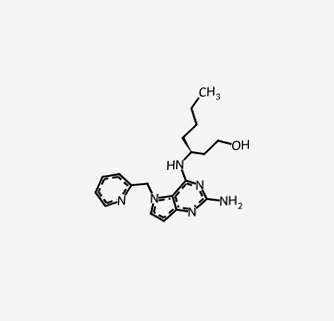 CCCC[C@@H](CCO)Nc1nc(N)nc2ccn(Cc3ccccn3)c12